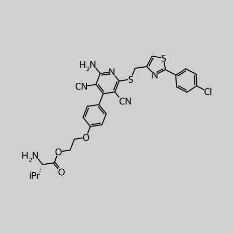 [C-]#[N+]c1c(N)nc(SCc2csc(-c3ccc(Cl)cc3)n2)c(C#N)c1-c1ccc(OCCOC(=O)[C@@H](N)C(C)C)cc1